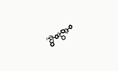 O=C(O)C1Cc2ccccc2CN1C(=O)c1ccc2c(c1)nc(-c1ccc3nc(-c4ccccc4)cnc3c1)n2C1CCCCC1